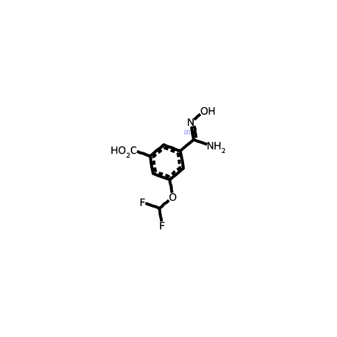 N/C(=N\O)c1cc(OC(F)F)cc(C(=O)O)c1